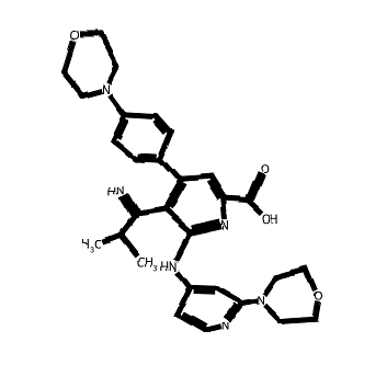 CC(C)C(=N)c1c(-c2ccc(N3CCOCC3)cc2)cc(C(=O)O)nc1Nc1ccnc(N2CCOCC2)c1